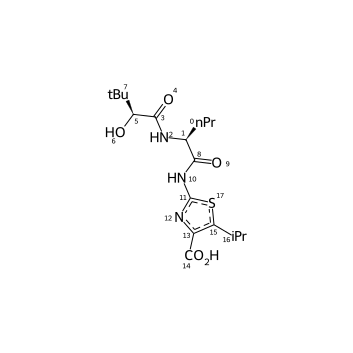 CCC[C@H](NC(=O)[C@@H](O)C(C)(C)C)C(=O)Nc1nc(C(=O)O)c(C(C)C)s1